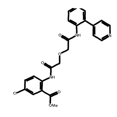 COC(=O)c1cc(Cl)ccc1NC(=O)COCC(=O)Nc1ccccc1-c1ccncc1